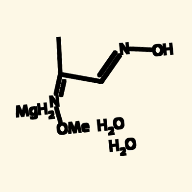 CON=C(C)C=NO.O.O.[MgH2]